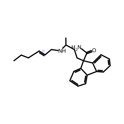 CCC/C=C/CNC(C)CCC1(C(N)=O)c2ccccc2-c2ccccc21